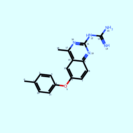 Cc1ccc(Oc2ccc3nc(NC(=N)N)nc(C)c3c2)cc1